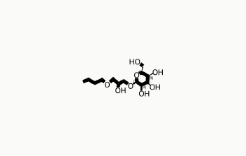 CCCCOCC(O)CO[C@H]1O[C@H](CO)[C@H](O)[C@H](O)[C@H]1O